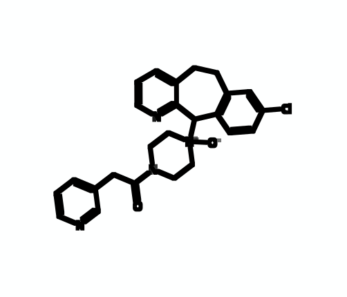 O=C(Cc1cccnc1)N1CC[N+]([O-])(C2c3ccc(Cl)cc3CCc3cccnc32)CC1